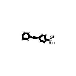 OB(O)c1ccc(C#Cc2ccccc2)cc1